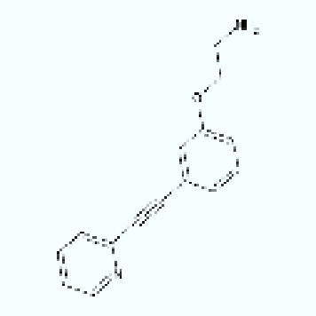 NCCOc1cccc(C#Cc2ccccn2)c1